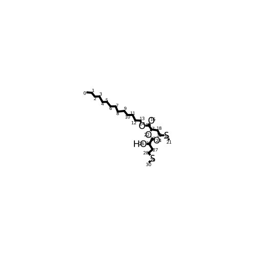 CCCCCCCCCCCCCCOC(=O)C(CCSC)OC(=O)C(O)CCSC